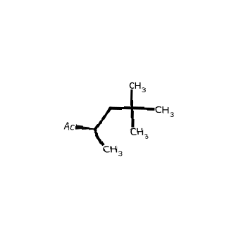 CC(=O)[C@H](C)CC(C)(C)C